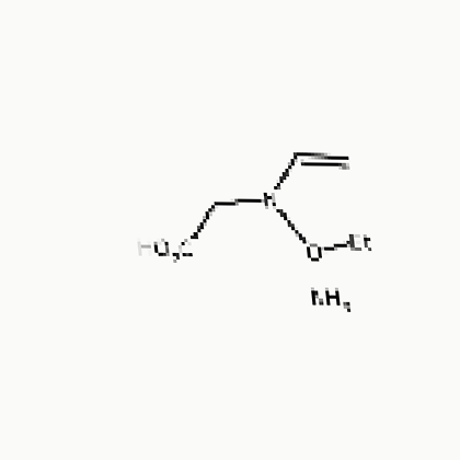 C=CN(CC(=O)O)OCC.N